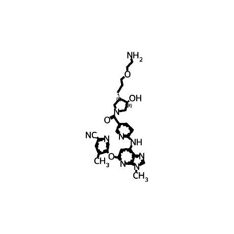 Cc1cc(C#N)ncc1Oc1cc(Nc2ccc(C(=O)N3C[C@H](CCCOCCN)[C@@H](O)C3)cn2)c2ncn(C)c2n1